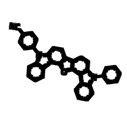 N#Cc1ccc(-n2c3ccccc3c3c4oc5c(ccc6c5c5ccccc5n6-c5ccccc5)c4ccc32)cc1